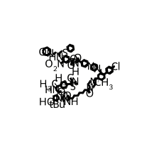 Cc1ncsc1-c1ccc([C@H](C)NC(=O)[C@@H]2C[C@@H](O)CN2C(=O)[C@@H](NC(=O)CCCCCCC(=O)N2CCN(C[C@]3(C)CCC(c4ccc(Cl)cc4)=C(CN4CCN(c5ccc(C(=O)NS(=O)(=O)c6ccc(N[C@H](CCN7CCCOCC7)CSc7ccccc7)c([N+](=O)[O-])c6)cc5)CC4)C3)CC2)C(C)(C)C)cc1